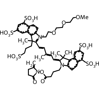 C=C1CCC(=O)N1OC(=O)CCCN1/C(=C/C=C(C)/C=C/C2=[N+](CCOCCOCCOC)c3ccc4c(S(=O)(=O)O)cc(S(=O)(=O)O)cc4c3C2(C)CCCS(=O)(=O)O)C(C)(C)c2c1ccc1c(S(=O)(=O)O)cc(S(=O)(=O)O)cc21